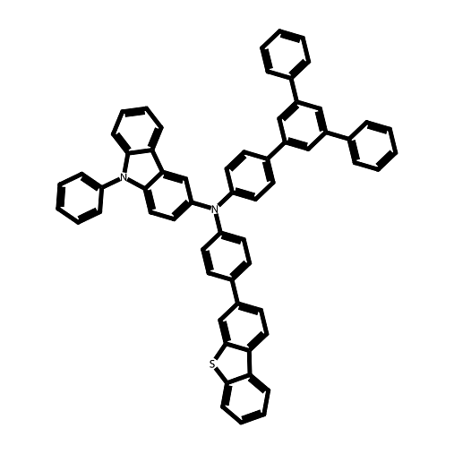 c1ccc(-c2cc(-c3ccccc3)cc(-c3ccc(N(c4ccc(-c5ccc6c(c5)sc5ccccc56)cc4)c4ccc5c(c4)c4ccccc4n5-c4ccccc4)cc3)c2)cc1